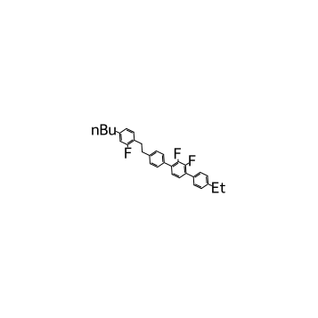 CCCCc1ccc(CCc2ccc(-c3ccc(-c4ccc(CC)cc4)c(F)c3F)cc2)c(F)c1